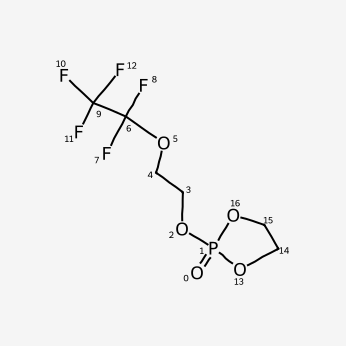 O=P1(OCCOC(F)(F)C(F)(F)F)OCCO1